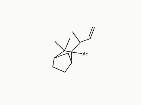 C=CC(C)C1(C(C)=O)C2CCC(C2)C1(C)C